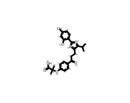 CC(C)c1oc(-c2ccc(Cl)cc2Cl)nc1CCC(=O)c1ccc(OC(C)(C)C(=O)O)cc1